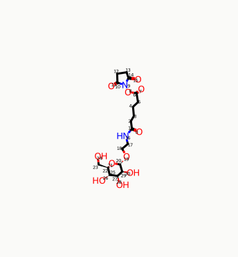 O=C(CCCCC(=O)ON1C(=O)CCC1=O)NCCO[C@H]1O[C@H](CO)[C@@H](O)[C@H](O)[C@@H]1O